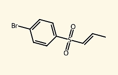 CC=CS(=O)(=O)c1ccc(Br)cc1